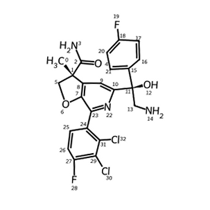 C[C@]1(C(N)=O)COc2c1cc([C@@](O)(CN)c1ccc(F)cc1)nc2-c1ccc(F)c(Cl)c1Cl